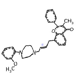 COc1ccccc1N1CCN(C/C=C/Cc2cccc3c(=O)c(C)c(-c4ccccc4)oc23)CC1